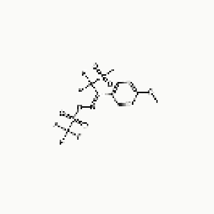 COc1ccc(C(=NOS(=O)(=O)C(F)(F)F)C(F)(F)S(C)(=O)=O)cc1